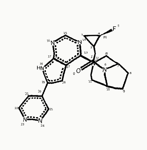 O=C(C1C[C@H]1F)N1C2CCC1CN(c1ncnc3[nH]c(-c4ccnnc4)cc13)C2